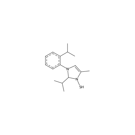 CC1=CN(c2ccccc2C(C)C)C(C(C)C)N1S